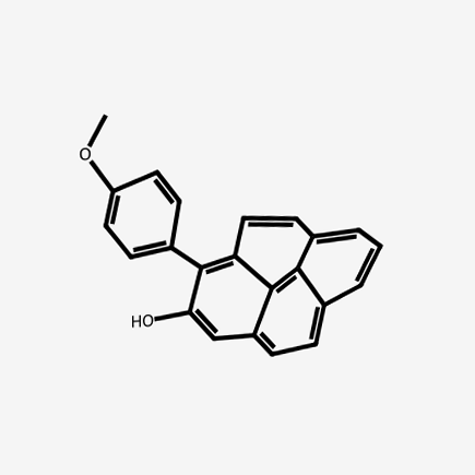 COc1ccc(-c2c(O)cc3ccc4cccc5ccc2c3c45)cc1